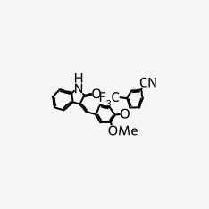 COc1cc(C=C2C(=O)Nc3ccccc32)ccc1Oc1ccc(C#N)cc1C(F)(F)F